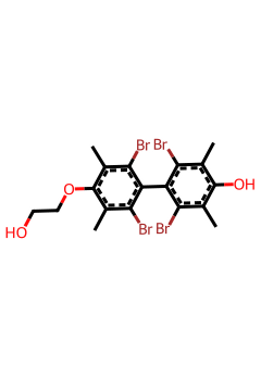 Cc1c(O)c(C)c(Br)c(-c2c(Br)c(C)c(OCCO)c(C)c2Br)c1Br